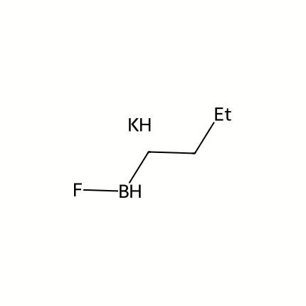 CCCCBF.[KH]